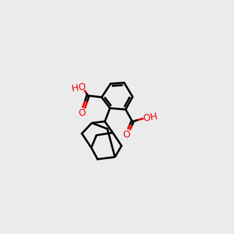 O=C(O)c1cccc(C(=O)O)c1C1C2CC3CC(C2)CC1C3